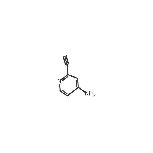 C#Cc1cc(N)ccn1